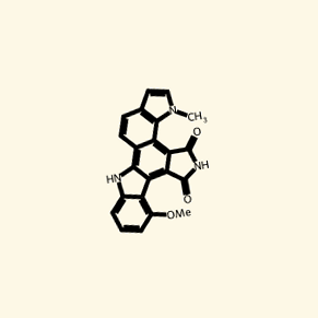 COc1cccc2[nH]c3c4ccc5ccn(C)c5c4c4c(c3c12)C(=O)NC4=O